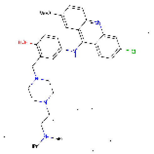 COc1ccc2nc3cc(Cl)ccc3c(Nc3ccc(O)c(CN4CCN(CCN(C(C)C)C(C)C)CC4)c3)c2c1